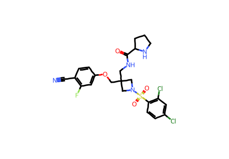 N#Cc1ccc(OCC2(CNC(=O)C3CCCN3)CN(S(=O)(=O)c3ccc(Cl)cc3Cl)C2)cc1F